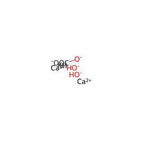 O=C([O-])[O-].[Ca+2].[Ca+2].[KH].[OH-].[OH-]